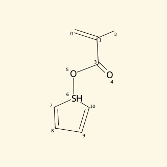 C=C(C)C(=O)O[SH]1C=CC=C1